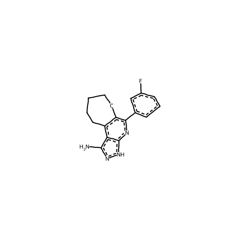 Nc1n[nH]c2nc(-c3cccc(F)c3)c3c(c12)CCCCC3